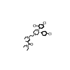 CCN(/C=C(\C)C(=O)N(CC)CC)CCN1CCN(c2ccc(Cl)cc2Cl)[C@H](c2ccc(Cl)cc2)C1